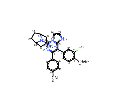 COc1ccc(-c2c(-c3ccc(C#N)cc3)nc(N3C4CCC3CC(N)C4)n3ccnc23)cc1F